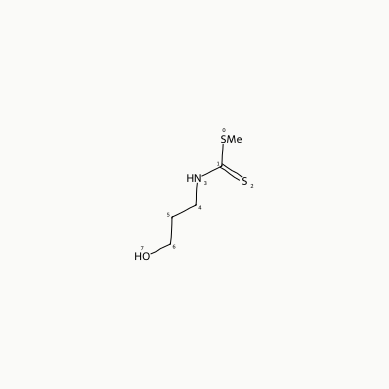 CSC(=S)NCCCO